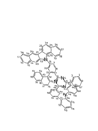 c1ccc(-c2nc(-c3ccc(-n4c5cc6ccccc6cc5c5ccc6ccccc6c54)cc3-c3cccc4ccccc34)nc(-c3cccc4c5ccccc5n(-c5ccccc5)c34)n2)cc1